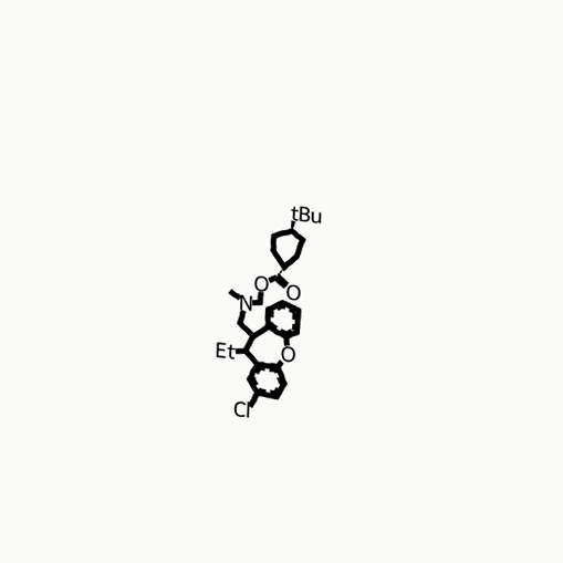 CCC1c2cc(Cl)ccc2Oc2ccccc2C1CN(C)COC(=O)[C@H]1CC[C@H](C(C)(C)C)CC1